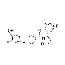 O=C([C@H]1CC[C@H](Cc2ccc(CO)c(F)c2)CC1)N1OCC[C@H]1c1cc(F)cc(F)c1